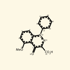 COc1cccc2c1c(=O)c(C(=O)O)nn2-c1ccccc1